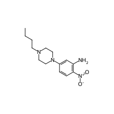 CCCCN1CCN(c2ccc([N+](=O)[O-])c(N)c2)CC1